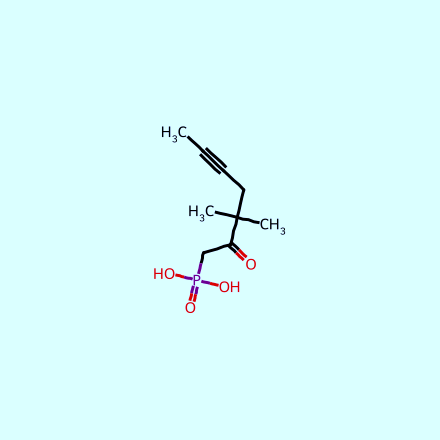 CC#CCC(C)(C)C(=O)CP(=O)(O)O